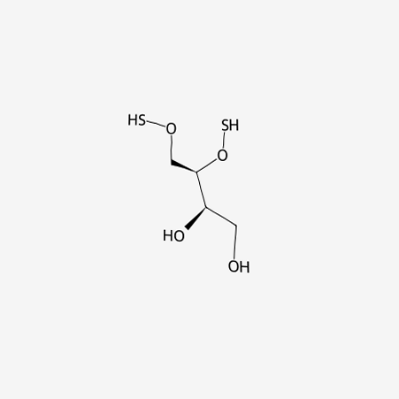 OC[C@@H](O)[C@@H](COS)OS